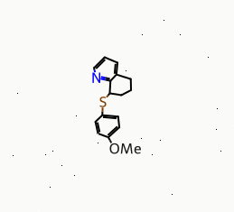 COc1ccc(SC2CCCc3cccnc32)cc1